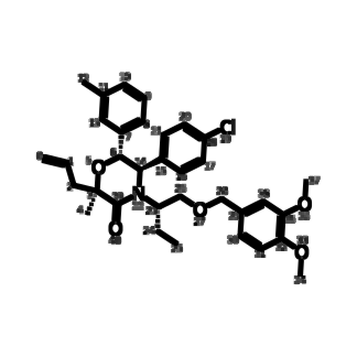 C=CC[C@@]1(C)O[C@H](c2cccc(C)c2)[C@@H](c2ccc(Cl)cc2)N([C@@H](CC)COCc2ccc(OC)c(OC)c2)C1=O